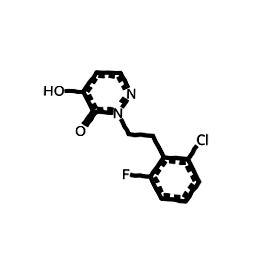 O=c1c(O)ccnn1CCc1c(F)cccc1Cl